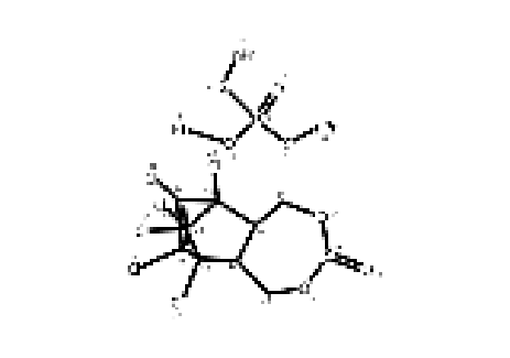 CCCSP(=O)(OCC)SCCC.O=S1OCC2C(CO1)C1(Cl)C(Cl)=C(Cl)C2(Cl)C1(Cl)Cl